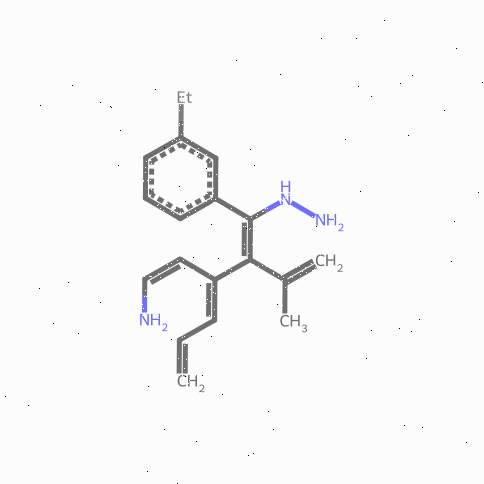 C=C/C=C(\C=C/N)C(/C(=C)C)=C(/NN)c1cccc(CC)c1